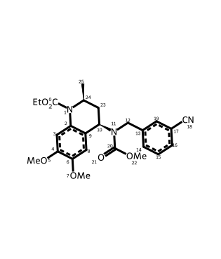 CCOC(=O)N1c2cc(OC)c(OC)cc2[C@H](N(Cc2cccc(C#N)c2)C(=O)OC)C[C@@H]1C